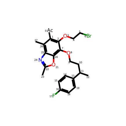 CC(=O)c1c(OCCBr)c(OCCC(C)c2ccc(F)cc2)c2oc(C)nc2c1C